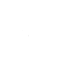 O.O.O.O.[Cl-].[Cl-].[Cl-].[Ru+3]